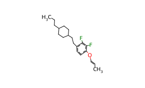 C/C=C/Oc1ccc(CCC2CCC(CCC)CC2)c(F)c1F